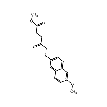 COC(=O)CCC(=O)CSc1ccc2cc(OC)ccc2c1